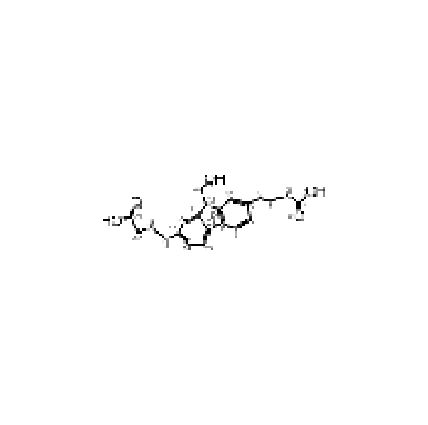 O=C(O)CCCc1ccc2c(c1)C(CO)c1cc(CCCC(=O)O)ccc1-2